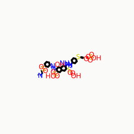 CN(C)CCS(=O)(=O)c1cccc(N=Nc2c(S(=O)(=O)O)cc3cc(SOOO)c(N=Nc4ccc(SC#COOS(=O)(=O)O)cc4)c(N)c3c2O)c1